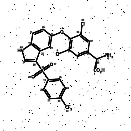 N[C@@H](C(=O)O)c1cc(Cl)c(Oc2ccc3[nH]cc(S(=O)(=O)c4ccc(C(F)(F)F)cc4)c3c2)c(Cl)c1